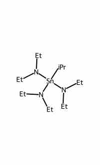 CC[N](CC)[Sn]([CH](C)C)([N](CC)CC)[N](CC)CC